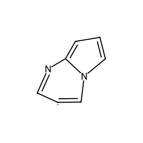 [c]1cnc2cccn2c1